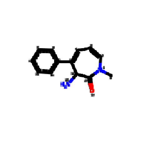 CN1C=CC=C(c2ccccc2)C(N)C1=O